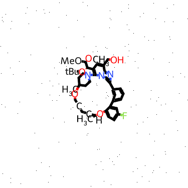 COC(=O)[C@@H](OC(C)(C)C)c1c(C)c(CO)c2nc3cn2c1N1CCC(C)(CC1)OCCCC[C@H](C)Oc1ccc(F)cc1-c1cccc-3c1